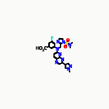 CN(C)S(=O)(=O)n1ccnc1CN(c1cc(F)cc(C(=O)O)c1)c1ccc2ncc(-c3cnn(C)c3)nc2n1